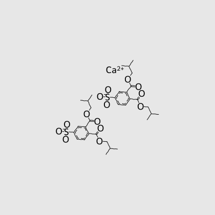 CC(C)COC(=O)c1ccc(S(=O)(=O)[O-])cc1C(=O)OCC(C)C.CC(C)COC(=O)c1ccc(S(=O)(=O)[O-])cc1C(=O)OCC(C)C.[Ca+2]